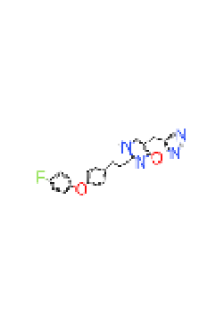 Cn1cc(Cc2cncnc2)c(=O)nc1CCc1ccc(Oc2ccc(F)cc2)cc1